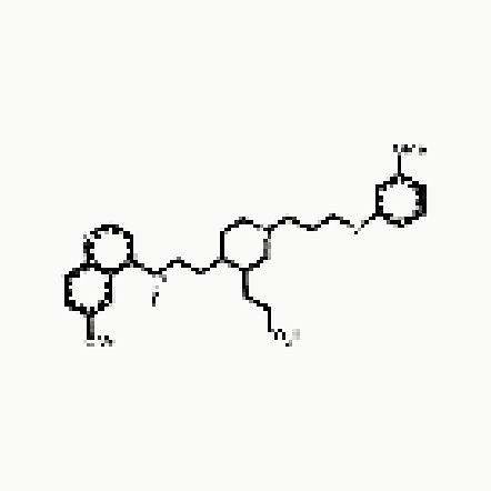 COc1cccc(SCCCN2CCC(CC[C@H](F)c3ccnc4ccc(OC)cc34)C(CCC(=O)O)C2)c1